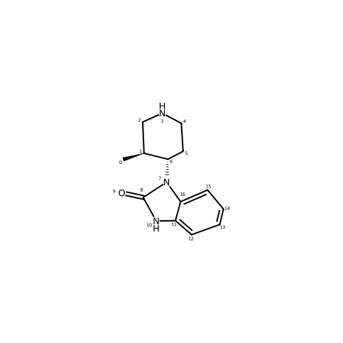 C[C@H]1CNCC[C@@H]1n1c(=O)[nH]c2ccccc21